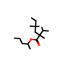 CCCC(C)OC(=O)C(C)(CC(C)(C)CC)C(C)C